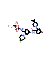 CC(C)(C)OC(=O)NCc1ccc(NC(=O)c2ccc(I)cc2N2CCC3(CC2)CC3)cc1N1CCC(F)(F)CC1